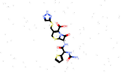 NC(=O)NC(C(=O)N[C@H]1C(=O)N2C(C(=O)O)=C(CSc3cn[nH]n3)CSC12)c1cccs1